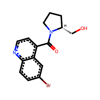 O=C(c1ccnc2ccc(Br)cc12)N1CCC[C@@H]1CO